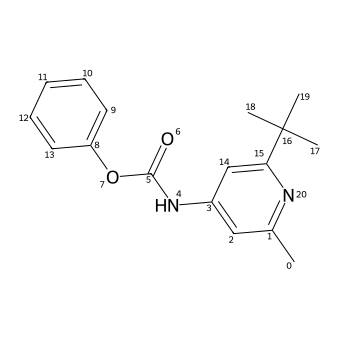 Cc1cc(NC(=O)Oc2ccccc2)cc(C(C)(C)C)n1